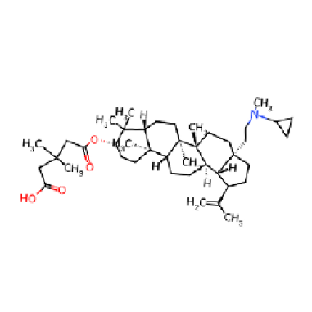 C=C(C)[C@@H]1CC[C@]2(CCN(C)C3CC3)CC[C@]3(C)[C@H](CC[C@@H]4[C@@]5(C)CC[C@H](OC(=O)CC(C)(C)CC(=O)O)C(C)(C)[C@@H]5CC[C@]43C)[C@@H]12